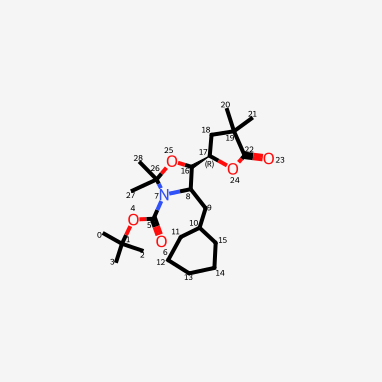 CC(C)(C)OC(=O)N1C(CC2CCCCC2)C([C@H]2CC(C)(C)C(=O)O2)OC1(C)C